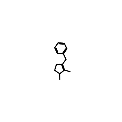 CC1=C(Cc2ccccc2)CCC1C